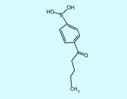 CCCCC(=O)c1ccc(B(O)O)cc1